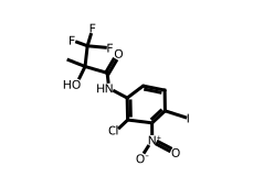 CC(O)(C(=O)Nc1ccc(I)c([N+](=O)[O-])c1Cl)C(F)(F)F